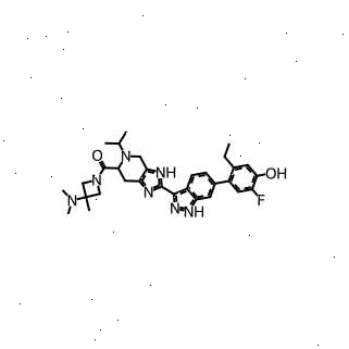 CCc1cc(O)c(F)cc1-c1ccc2c(-c3nc4c([nH]3)CN(C(C)C)C(C(=O)N3CC(C)(N(C)C)C3)C4)n[nH]c2c1